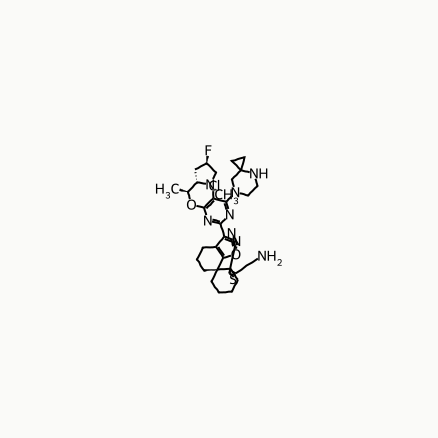 C[C@H](Oc1nc(-c2noc3c2CCC[C@@]32CCCc3sc(N)c(C#N)c32)nc(N2CCNC3(CC3)C2)c1Cl)[C@@H]1C[C@@H](F)CN1C